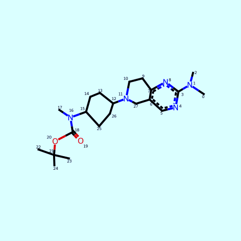 CN(C)c1ncc2c(n1)CCN(C1CCC(N(C)C(=O)OC(C)(C)C)CC1)C2